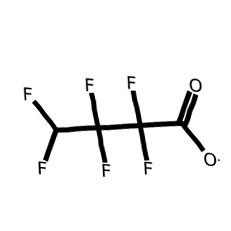 [O]C(=O)C(F)(F)C(F)(F)C(F)F